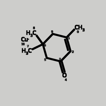 CC1=CC(=O)CC(C)(C)C1.[Cu]